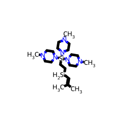 CC(C)=C[SiH2]CC[Si](N1CCN(C)CC1)(N1CCN(C)CC1)N1CCN(C)CC1